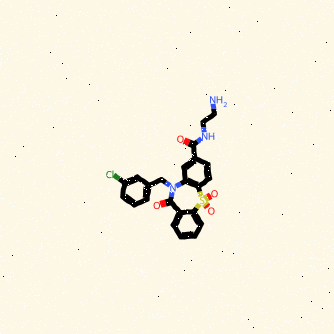 NCCNC(=O)c1ccc2c(c1)N(Cc1cccc(Cl)c1)C(=O)c1ccccc1S2(=O)=O